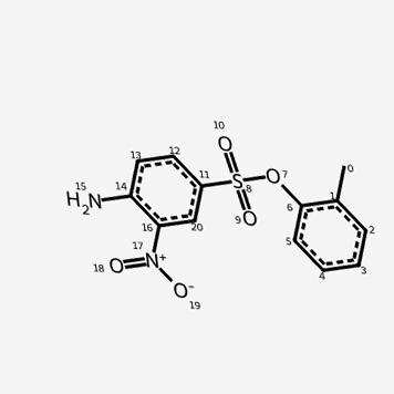 Cc1ccccc1OS(=O)(=O)c1ccc(N)c([N+](=O)[O-])c1